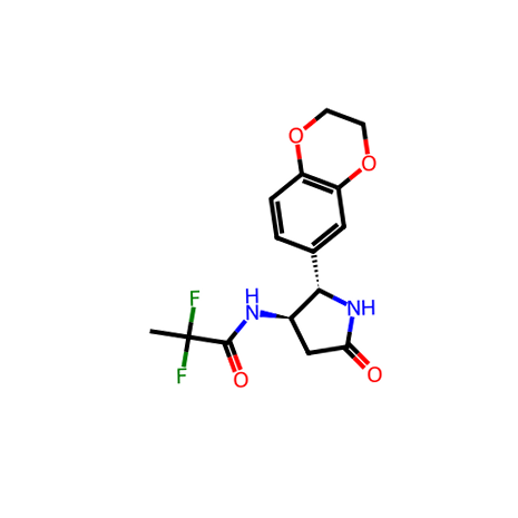 CC(F)(F)C(=O)N[C@@H]1CC(=O)N[C@H]1c1ccc2c(c1)OCCO2